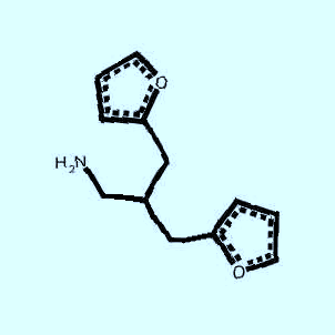 NC[C](Cc1ccco1)Cc1ccco1